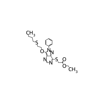 CCCCSCCOc1c2ncnc(SCC(=O)OCC)c2nn1-c1ccccc1